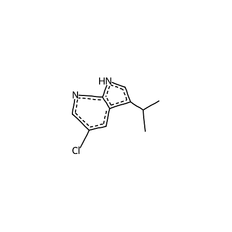 CC(C)c1c[nH]c2ncc(Cl)cc12